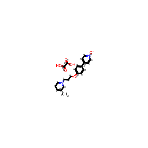 C[C@H]1CCCN(CCCOc2ccc(-c3cc[n+]([O-])cc3)cc2)C1.O=C(O)C(=O)O